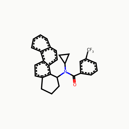 O=C(c1cccc(C(F)(F)F)c1)N(C1CC1)C1CCCc2ccc3c(ccc4ccccc43)c21